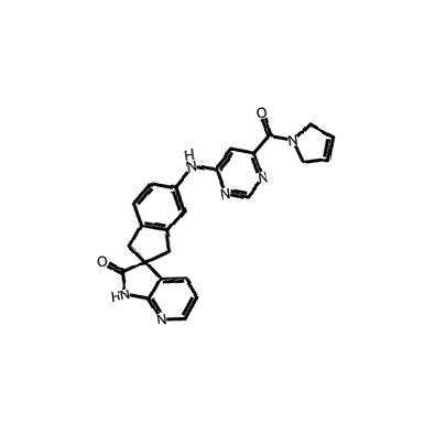 O=C(c1cc(Nc2ccc3c(c2)CC2(C3)C(=O)Nc3ncccc32)ncn1)N1CC=CC1